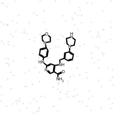 NC(=O)c1cnc(Nc2ccc(N3CCOCC3)cc2)cc1NCc1cccc(N2CCNCC2)c1